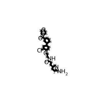 Nc1ccc(C=CC(=O)NCCOc2ccc(-c3cccc(C(=O)N4CCOCC4)c3)cc2Cl)cn1